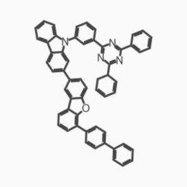 C1=CCC(c2nc(-c3ccccc3)nc(-c3cccc(-n4c5ccccc5c5ccc(-c6ccc7oc8c(-c9ccc(-c%10ccccc%10)cc9)cccc8c7c6)cc54)c3)n2)C=C1